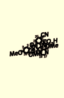 COc1ccc(S(=O)(=O)N2C(=O)C(NC(=O)O)(c3cccnc3OC)c3cc(C#N)ccc32)c(OC)c1